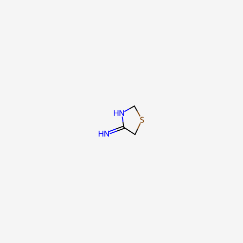 N=C1CSCN1